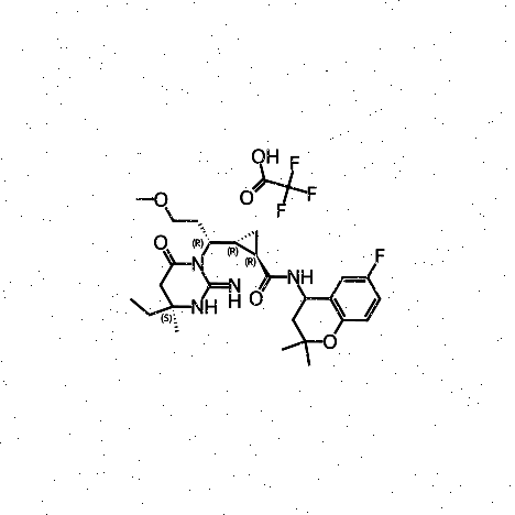 CC[C@@]1(C)CC(=O)N([C@H](CCOC)[C@@H]2C[C@H]2C(=O)NC2CC(C)(C)Oc3ccc(F)cc32)C(=N)N1.O=C(O)C(F)(F)F